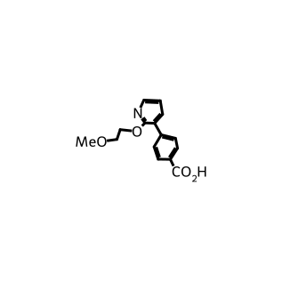 COCCOc1ncccc1-c1ccc(C(=O)O)cc1